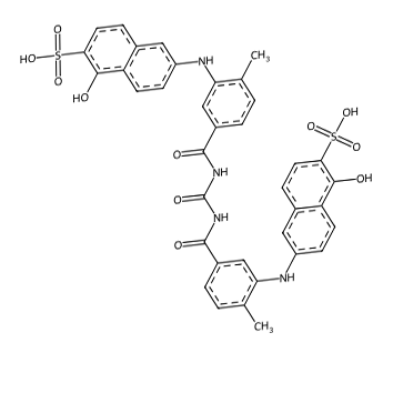 Cc1ccc(C(=O)NC(=O)NC(=O)c2ccc(C)c(Nc3ccc4c(O)c(S(=O)(=O)O)ccc4c3)c2)cc1Nc1ccc2c(O)c(S(=O)(=O)O)ccc2c1